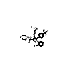 COCCOc1c(C(=O)NN2CCOCC2)nn(-c2ccccc2Cl)c1-c1ccc(C(F)(F)F)cc1